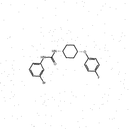 O=C(Nc1cccc(Br)c1)N[C@H]1CC[C@@H](Oc2ccc(F)cc2)CC1